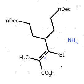 CCCCCCCCCCCCC(CCCCCCCCCCCC)/C(CC)=C(\C)C(=O)O.N